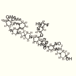 COc1cc(CN2CCN(C3CC4(CCN(c5ccc(C(=O)NS(=O)(=O)c6ccc(NCC7CCC(C)(O)CC7)c([N+](=O)[O-])c6)c(Oc6cnc7[nH]cc(F)c7c6)c5)CC4)C3)[C@H](c3ccccc3C(C)C)C2)cc(C)c1OC